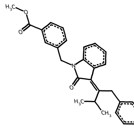 COC(=O)c1cccc(CN2C(=O)/C(=C(/Cc3ccc(Cl)cc3)C(C)C)c3ccccc32)c1